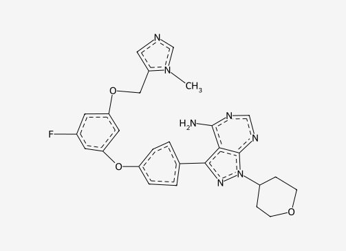 Cn1cncc1COc1cc(F)cc(Oc2ccc(-c3nn(C4CCOCC4)c4ncnc(N)c34)cc2)c1